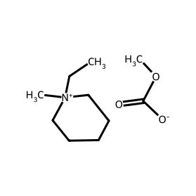 CC[N+]1(C)CCCCC1.COC(=O)[O-]